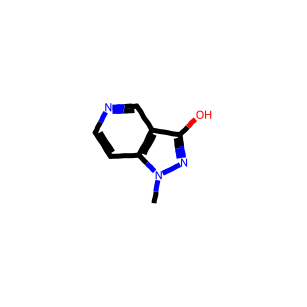 Cn1nc(O)c2cnccc21